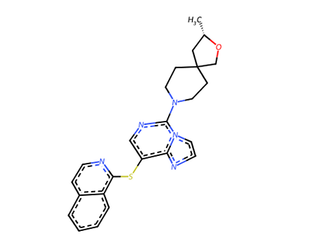 C[C@H]1CC2(CCN(c3ncc(Sc4nccc5ccccc45)c4nccn34)CC2)CO1